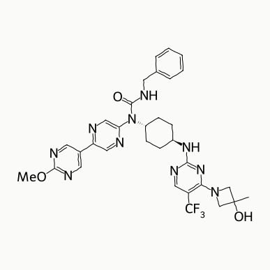 COc1ncc(-c2cnc(N(C(=O)NCc3ccccc3)[C@H]3CC[C@H](Nc4ncc(C(F)(F)F)c(N5CC(C)(O)C5)n4)CC3)cn2)cn1